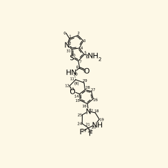 Cc1ccc2c(N)c(C(=O)N[C@H]3COc4cc(N5CCNC(F)(F)CC5)ccc4C3)sc2n1